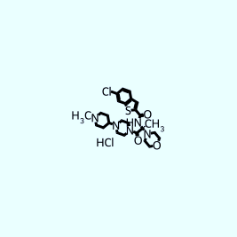 CN1CCC(N2CCN(C(=O)[C@@](C)(NC(=O)c3cc4ccc(Cl)cc4s3)N3CCOCC3)CC2)CC1.Cl